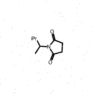 CC(C)C(C)N1C(=O)CCC1=O